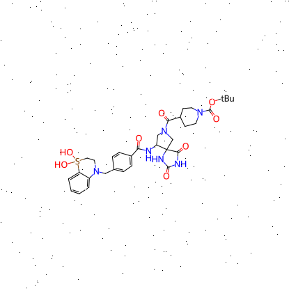 CC(C)(C)OC(=O)N1CCC(C(=O)N2CC(NC(=O)c3ccc(CN4CCS(O)(O)c5ccccc54)cc3)C3(C2)NC(=O)NC3=O)CC1